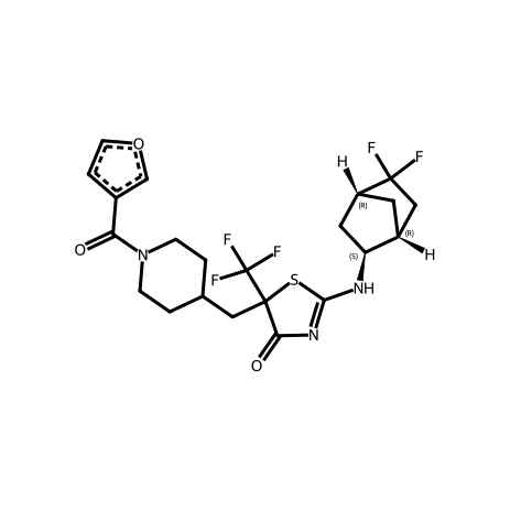 O=C(c1ccoc1)N1CCC(CC2(C(F)(F)F)SC(N[C@H]3C[C@H]4C[C@@H]3CC4(F)F)=NC2=O)CC1